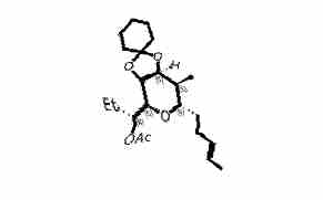 CC=CCC[C@@H]1O[C@@H]([C@@H](CC)OC(C)=O)C2OC3(CCCCC3)O[C@H]2[C@H]1C